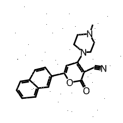 CN1CCN(c2cc(-c3ccc4ccccc4c3)oc(=O)c2C#N)CC1